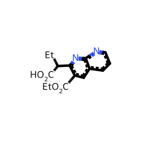 CCOC(=O)c1cc2cccnc2nc1C(CC)C(=O)O